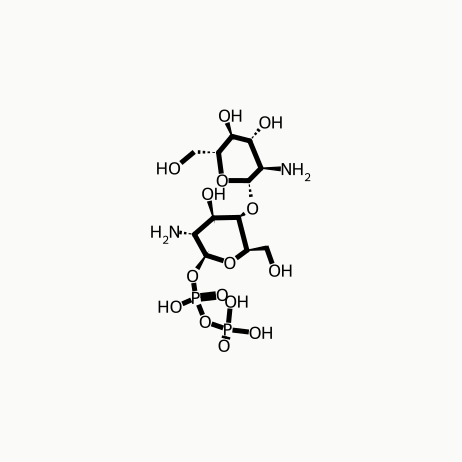 N[C@H]1[C@H](O[C@H]2[C@H](O)[C@@H](N)[C@H](OP(=O)(O)OP(=O)(O)O)O[C@@H]2CO)O[C@H](CO)[C@@H](O)[C@@H]1O